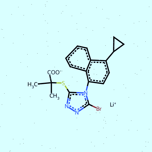 CC(C)(Sc1nnc(Br)n1-c1ccc(C2CC2)c2ccccc12)C(=O)[O-].[Li+]